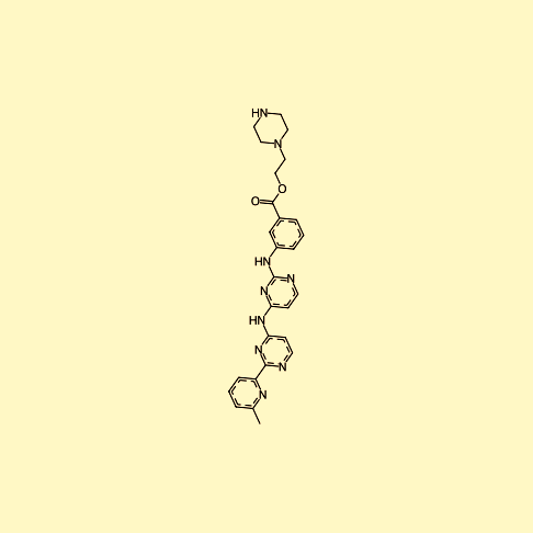 Cc1cccc(-c2nccc(Nc3ccnc(Nc4cccc(C(=O)OCCN5CCNCC5)c4)n3)n2)n1